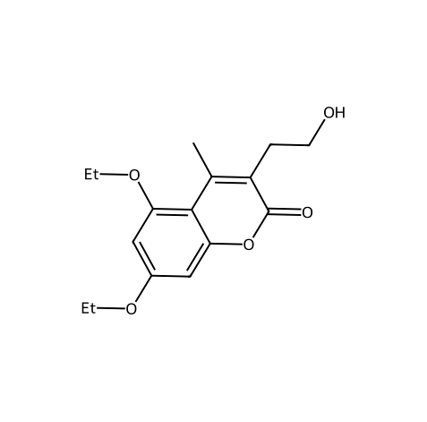 CCOc1cc(OCC)c2c(C)c(CCO)c(=O)oc2c1